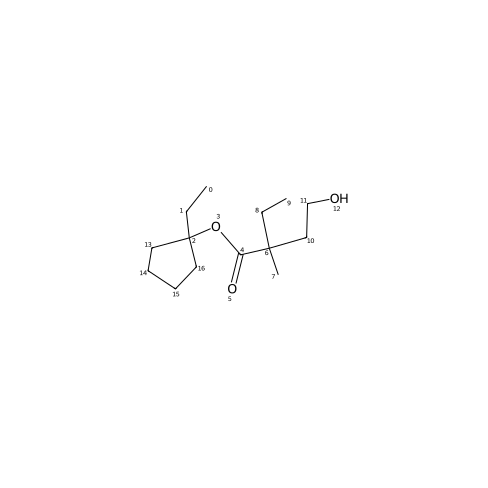 CCC1(OC(=O)C(C)(CC)CCO)CCCC1